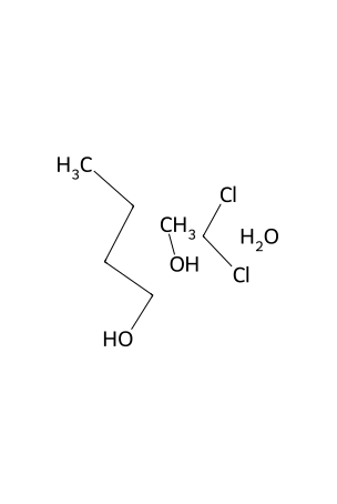 CCCCO.CO.ClCCl.O